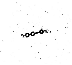 CCCCc1ccc(C#CC2CCC([C@H]3CC[C@H](CC)CC3)CC2)cc1F